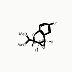 COC(OC)[C@]1(C)Oc2ccc(Br)cc2[C@H]2O[C@H]21